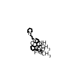 COC(=O)OC1=C(C)Nc2ccn(CCCN3CCCCC3)c(=O)c2C1c1ccccc1C(F)(F)F